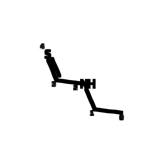 CCNC=S